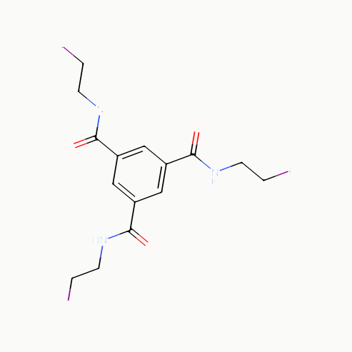 O=C(NCCI)c1cc(C(=O)NCCI)cc(C(=O)NCCI)c1